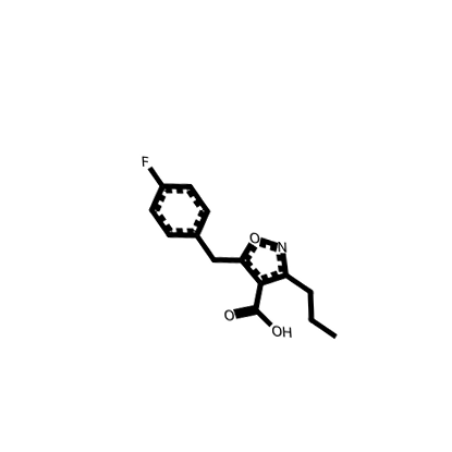 CCCc1noc(Cc2ccc(F)cc2)c1C(=O)O